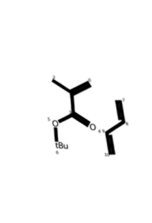 C=C(C)C(=O)OC(C)(C)C.C=CC=C